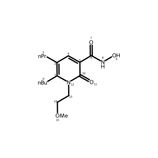 CCCCc1c(CCC)cc(C(=O)NO)c(=O)n1CCOC